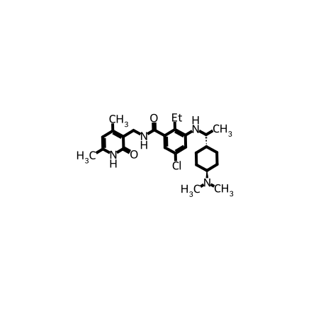 CCc1c(NC(C)[C@H]2CC[C@H](N(C)C)CC2)cc(Cl)cc1C(=O)NCc1c(C)cc(C)[nH]c1=O